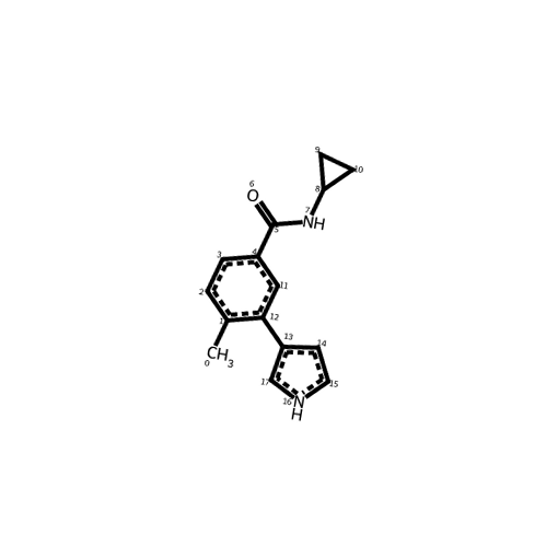 Cc1ccc(C(=O)NC2CC2)cc1-c1cc[nH]c1